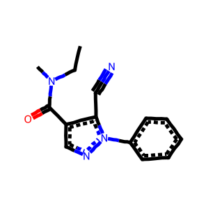 CCN(C)C(=O)c1cnn(-c2ccccc2)c1C#N